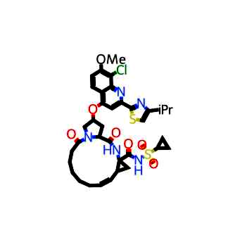 COc1ccc2c(OC3CC4C(=O)NC5(C(=O)NS(=O)(=O)C6CC6)CC5C=CCCCCCC(=O)N4C3)cc(-c3nc(C(C)C)cs3)nc2c1Cl